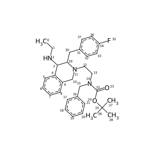 CCNC1c2ccccc2CN(CCN(Cc2ccccc2)C(=O)OC(C)(C)C)C1Cc1ccc(F)cc1